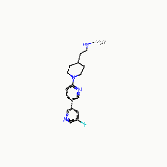 O=C(O)NCCC1CCN(c2ccc(-c3cncc(F)c3)cn2)CC1